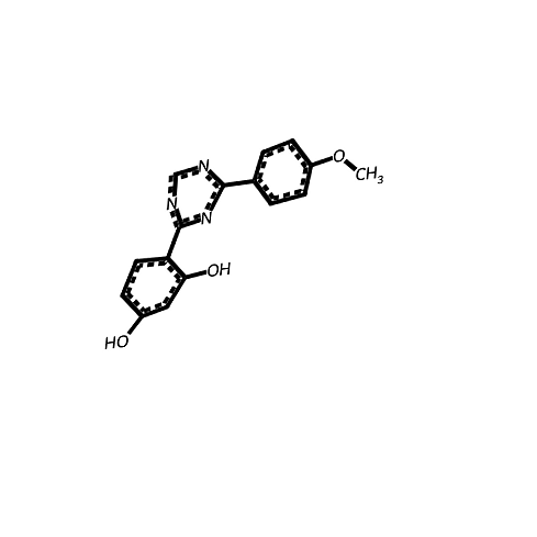 COc1ccc(-c2ncnc(-c3ccc(O)cc3O)n2)cc1